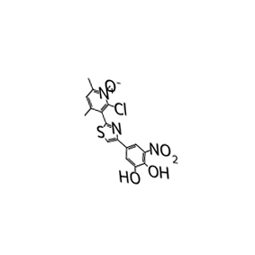 Cc1cc(C)[n+]([O-])c(Cl)c1-c1nc(-c2cc(O)c(O)c([N+](=O)[O-])c2)cs1